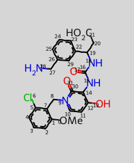 COc1cccc(Cl)c1Cn1ccc(O)c(NC(=O)NC(CC(=O)O)c2cccc(CN)c2)c1=O